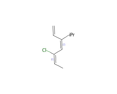 C=C/C(=C\C(Cl)=C/C)C(C)C